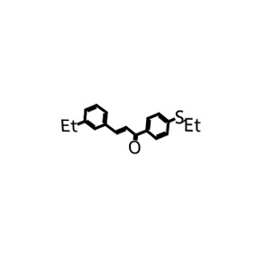 CCSc1ccc(C(=O)/C=C/c2cccc(CC)c2)cc1